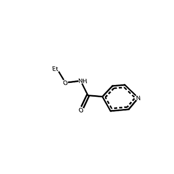 CCONC(=O)c1ccncc1